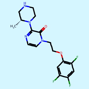 C[C@@H]1CNCCN1c1nccn(CCOc2cc(F)c(F)cc2F)c1=O